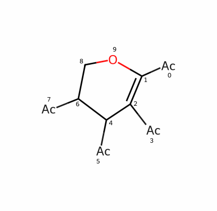 CC(=O)C1=C(C(C)=O)C(C(C)=O)C(C(C)=O)CO1